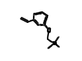 C=Cc1cccc(OC[Si](C)(C)C)c1